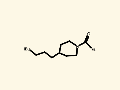 CCC(=O)N1CCC(CCCC(C)CC)CC1